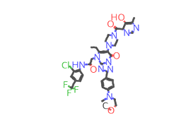 CCc1c(N2CCN(C(=O)c3ncnc(C)c3O)CC2)c(=O)n2nc(-c3ccc(N4CCOCC4)cc3)nc2n1CC(=O)Nc1ccc(C(F)(F)F)cc1Cl